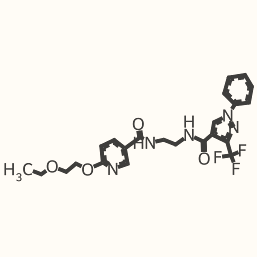 CCOCCOc1ccc(C(=O)NCCNC(=O)c2cn(-c3ccccc3)nc2C(F)(F)F)cn1